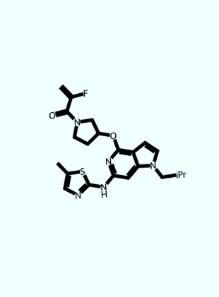 C=C(F)C(=O)N1CCC(Oc2nc(Nc3ncc(C)s3)cc3c2ccn3CC(C)C)C1